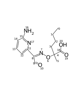 CCCCC(C)(ON=C([C]=O)c1cccc(N)n1)C(=O)O